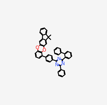 CC1(C)c2ccccc2-c2cc3c(cc21)Oc1c(cccc1-c1ccc(-c2nc(-c4ccccc4)nc(-c4ccccc4-c4ccccc4)n2)cc1)O3